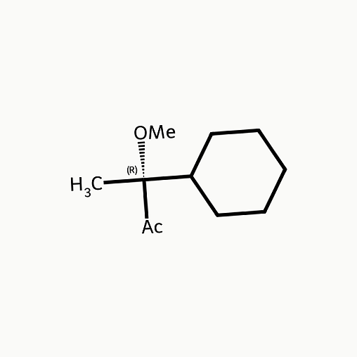 CO[C@@](C)(C(C)=O)C1CCCCC1